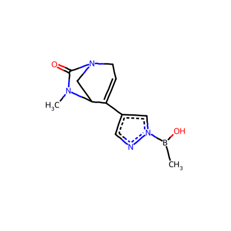 CB(O)n1cc(C2=CCN3CC2N(C)C3=O)cn1